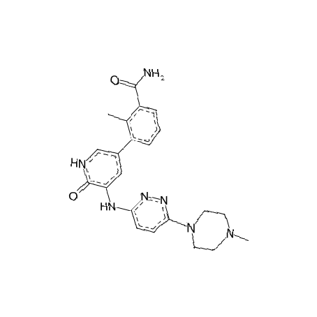 Cc1c(C(N)=O)cccc1-c1c[nH]c(=O)c(Nc2ccc(N3CCN(C)CC3)nn2)c1